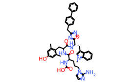 Cc1cc(O)cc(C)c1CC(NC(=O)C(CCCn1ccnc1N)NC(=O)O)C(=O)N[C@@H](Cc1cn(C)c2ccccc12)c1nc(Cc2ccc(-c3ccccc3)cc2)no1